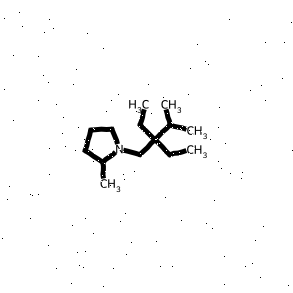 CCC(CC)(CN1CCCC1C)C(C)C